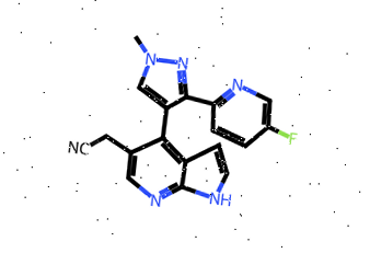 Cn1cc(-c2c(CC#N)cnc3[nH]ccc23)c(-c2ccc(F)cn2)n1